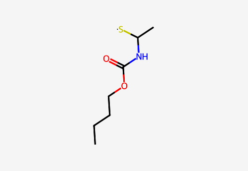 CCCCOC(=O)NC(C)[S]